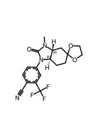 CN1C(=O)N(c2ccc(C#N)c(C(F)(F)F)c2)[C@@H]2CCC3(C[C@H]21)OCCO3